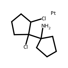 NC1(C2(Cl)CCCC2Cl)CCCC1.[Pt]